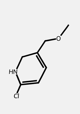 COCC1=CC=C(Cl)NC1